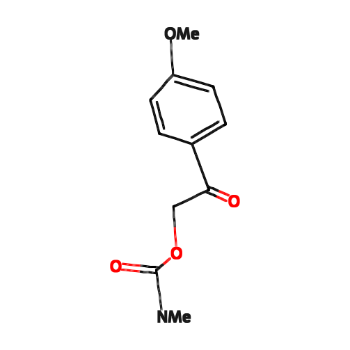 CNC(=O)OCC(=O)c1ccc(OC)cc1